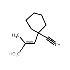 C#CC1(C=C(C)C(=O)O)CCCCC1